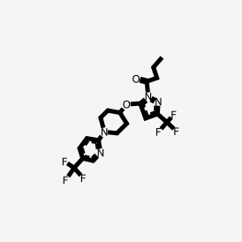 CCCC(=O)n1nc(C(F)(F)F)cc1OC1CCN(c2ccc(C(F)(F)F)cn2)CC1